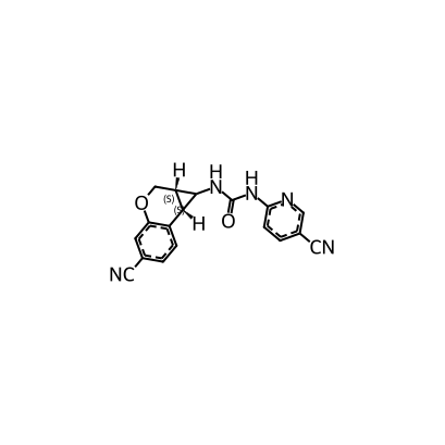 N#Cc1ccc(NC(=O)NC2[C@H]3COc4cc(C#N)ccc4[C@@H]23)nc1